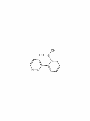 OB(O)c1ccccc1-c1cccnc1